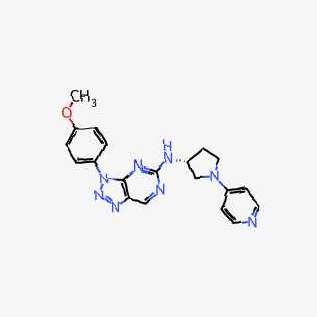 COc1ccc(-n2nnc3cnc(N[C@@H]4CCN(c5ccncc5)C4)nc32)cc1